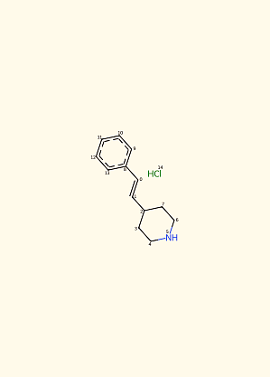 C(=C\C1CCNCC1)/c1ccccc1.Cl